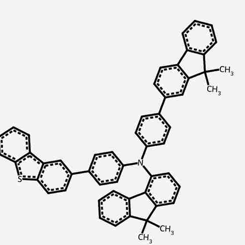 CC1(C)c2ccccc2-c2ccc(-c3ccc(N(c4ccc(-c5ccc6sc7ccccc7c6c5)cc4)c4cccc5c4-c4ccccc4C5(C)C)cc3)cc21